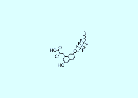 CCOCC(F)(F)C(F)(F)C(F)(F)COc1ccc2cc(O)cc(CC(Cl)C(=O)O)c2c1